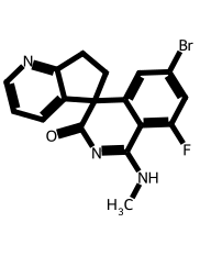 CNC1=NC(=O)C2(CCc3ncccc32)c2cc(Br)cc(F)c21